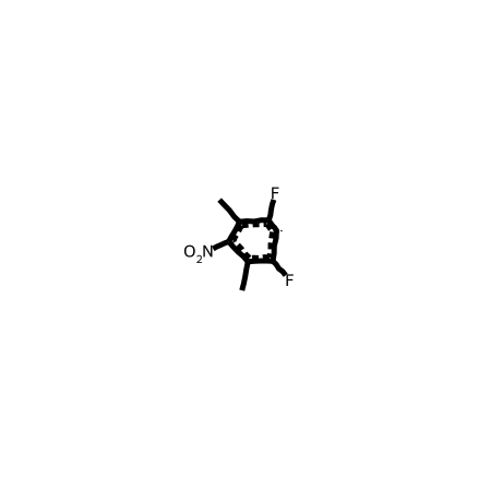 Cc1c(F)[c]c(F)c(C)c1[N+](=O)[O-]